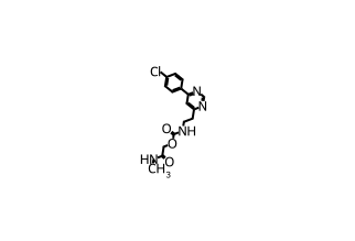 CNC(=O)COC(=O)NCCc1cc(-c2ccc(Cl)cc2)ncn1